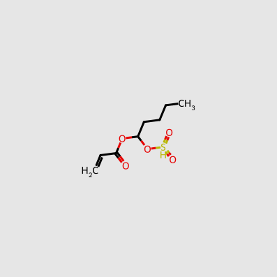 C=CC(=O)OC(CCCC)O[SH](=O)=O